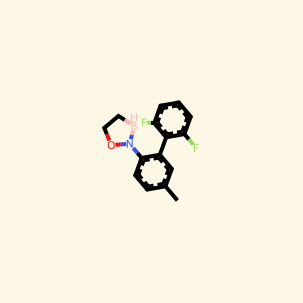 Cc1ccc(N2BCCO2)c(-c2c(F)cccc2F)c1